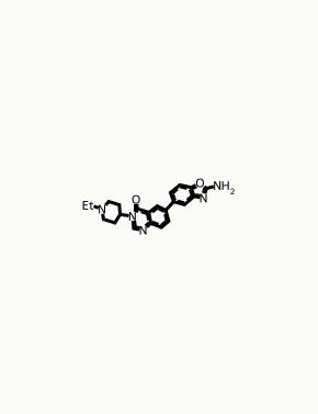 CCN1CCC(n2cnc3ccc(-c4ccc5oc(N)nc5c4)cc3c2=O)CC1